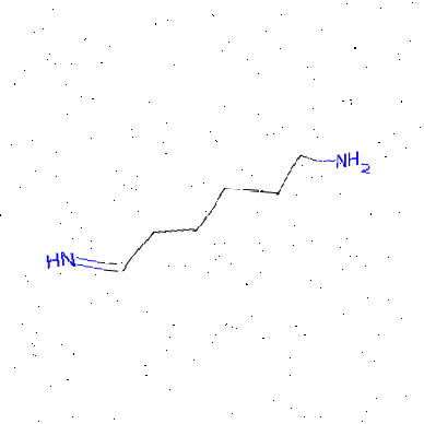 N=CCCCCCN